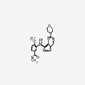 COC(=O)c1ccc(C)c(Nc2ncnc3cnc(N4CCOCC4)nc23)c1